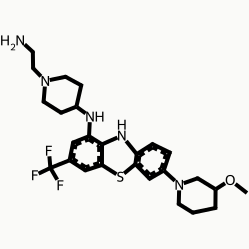 COC1CCCN(c2ccc3c(c2)Sc2cc(C(F)(F)F)cc(NC4CCN(CCN)CC4)c2N3)C1